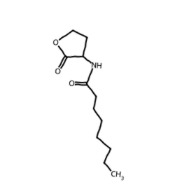 CCCCCCCC(=O)NC1CCOC1=O